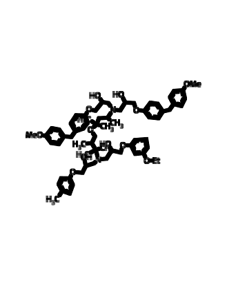 CCOc1cccc(OCC(O)CN(CC(O)COc2ccc(C)cc2)C(C)(C)C(C)COC(C)(C)CC(C)N(CC(O)COc2ccc(Cc3ccc(OC)cc3)cc2)CC(O)COc2ccc(Cc3ccc(OC)cc3)cc2)c1